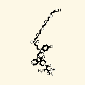 C#CCOCCOCCOCCOCCS(=O)(=O)CCCn1c(CN2C(=O)C3(CCN(C(=O)C(N)C(C)O)CC3)c3ccncc32)nc2cc(Cl)ccc21